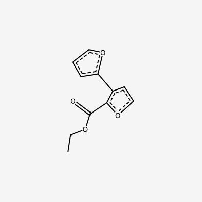 CCOC(=O)c1occc1-c1ccco1